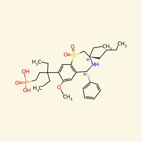 CCCC[C@]1(CC)CS(=O)(=O)c2cc(C(CC)(CC)CCP(=O)(O)O)c(OC)cc2[C@@H](c2ccccc2)N1